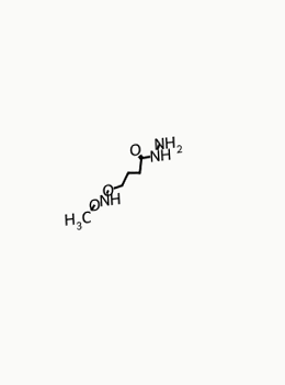 CONOCCCC(=O)NN